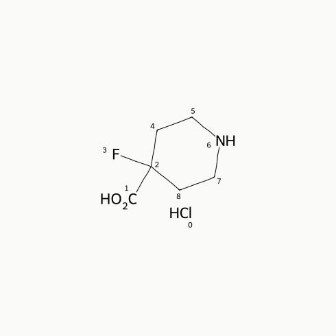 Cl.O=C(O)C1(F)CCNCC1